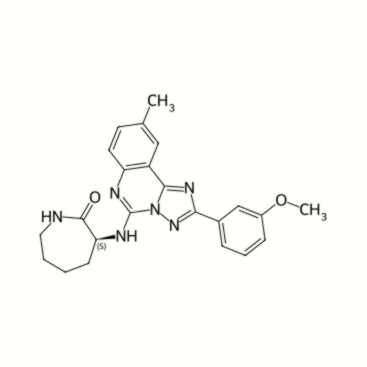 COc1cccc(-c2nc3c4cc(C)ccc4nc(N[C@H]4CCCCNC4=O)n3n2)c1